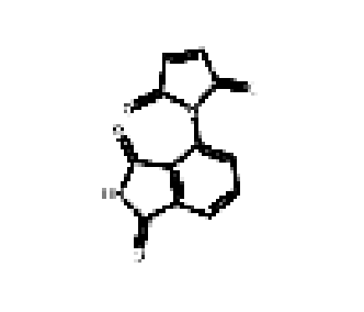 O=C1NC(=O)c2c1cccc2N1C(=O)C=CC1=O